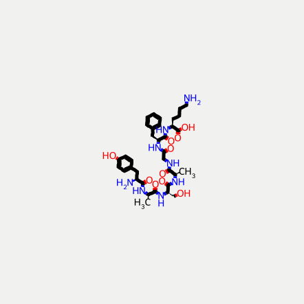 C[C@H](NC(=O)[C@H](CO)NC(=O)[C@H](C)NC(=O)[C@@H](N)Cc1ccc(O)cc1)C(=O)NCC(=O)N[C@@H](Cc1ccccc1)C(=O)N[C@@H](CCCCN)C(=O)O